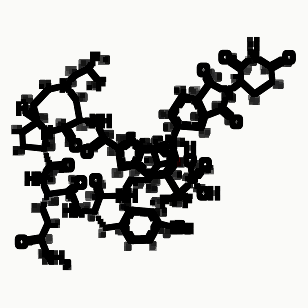 CC(C)(C)c1ccc(C[C@H](NC(=O)[C@H](CCC(N)=O)NC(=O)[C@@H]2CC[C@@H]3CCN(CC(F)F)C[C@H](NC(=O)c4cc5cc(C(F)(F)P(=O)(O)O)ccc5s4)C(=O)N32)C(=O)NCCC2CN(c3ccc4c(c3)C(=O)N(C3CCC(=O)NC3=O)C4=O)C2)cc1